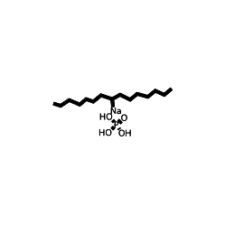 CCCCCCC[CH]([Na])CCCCCCC.O=P(O)(O)O